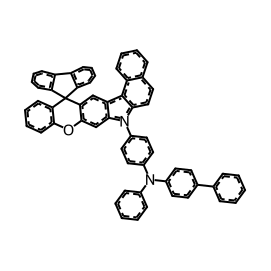 c1ccc(-c2ccc(N(c3ccccc3)c3ccc(-n4c5cc6c(cc5c5c7ccccc7ccc54)C4(c5ccccc5O6)c5ccccc5-c5ccccc54)cc3)cc2)cc1